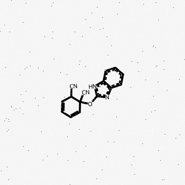 N#CC1C=CC=CC1(C#N)Oc1nc2ccccc2[nH]1